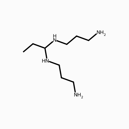 CCC(NCCCN)NCCCN